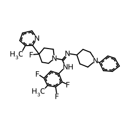 Cc1cccnc1C1(F)CCN(C(=NC2CCN(c3ccccc3)CC2)Nc2cc(F)c(C)c(F)c2F)CC1